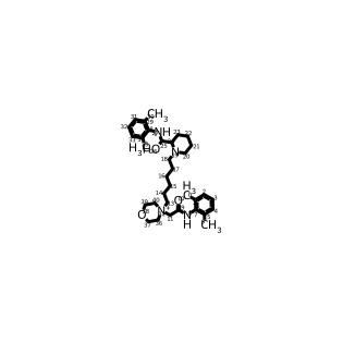 Cc1cccc(C)c1NC(=O)C[N+]1(CCCCCCN2CCCCC2C(O)Nc2c(C)cccc2C)CCOCC1